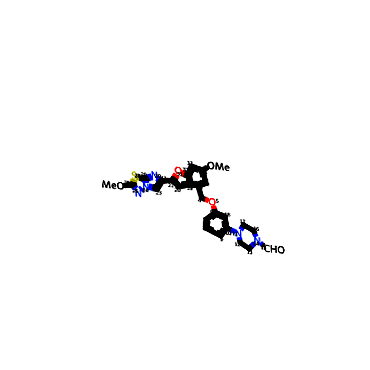 COc1cc(COc2cccc(N3CCN(C=O)CC3)c2)c2cc(-c3cn4nc(OC)sc4n3)oc2c1